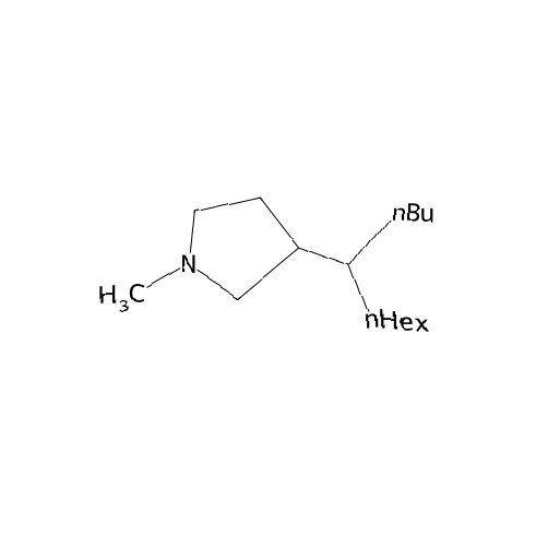 CCCCCCC(CCCC)C1CCN(C)C1